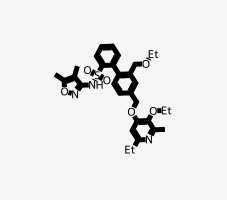 CCOCc1cc(COc2cc(CC)nc(C)c2OCC)ccc1-c1ccccc1S(=O)(=O)Nc1noc(C)c1C